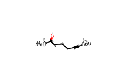 [CH2]CCCC#CCCCC(=O)OC